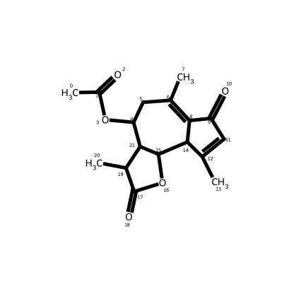 CC(=O)OC1CC(C)=C2C(=O)C=C(C)C2C2OC(=O)C(C)C12